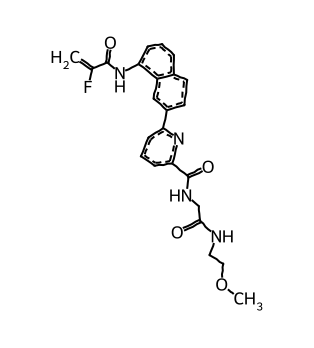 C=C(F)C(=O)Nc1cccc2ccc(-c3cccc(C(=O)NCC(=O)NCCOC)n3)cc12